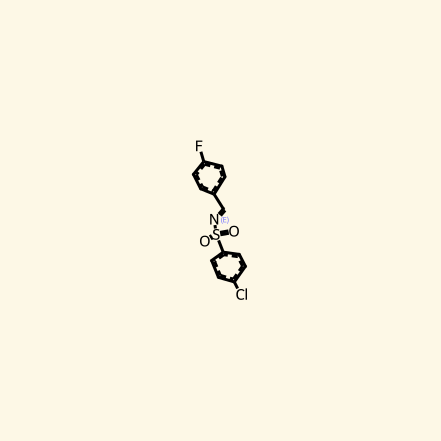 O=S(=O)(/N=C/c1ccc(F)cc1)c1ccc(Cl)cc1